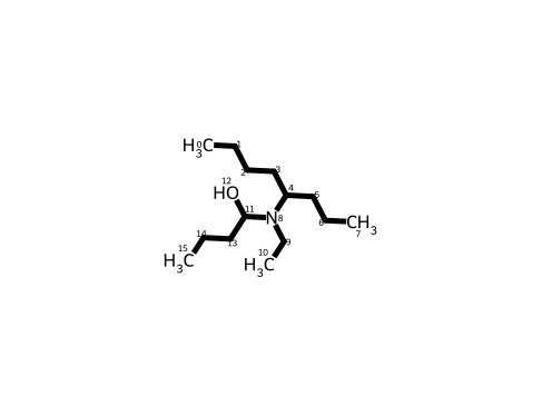 CCCCC(CCC)N(CC)C(O)CCC